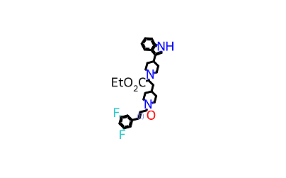 CCOC(=O)C(CC1CCN(C(=O)/C=C/c2cc(F)cc(F)c2)CC1)N1CCC(c2c[nH]c3ccccc23)CC1